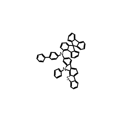 c1ccc(-c2ccc(N(c3ccc4c5ccc6c7ccccc7sc6c5n(-c5ccccc5)c4c3)c3cccc4c3-c3ccccc3C43c4ccccc4-c4ccccc43)cc2)cc1